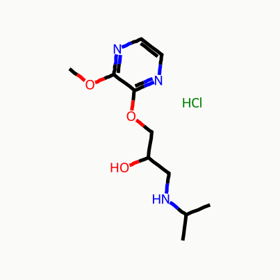 COc1nccnc1OCC(O)CNC(C)C.Cl